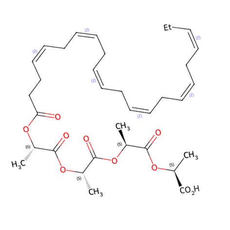 CC/C=C\C/C=C\C/C=C\C/C=C\C/C=C\C/C=C\CCC(=O)O[C@@H](C)C(=O)O[C@@H](C)C(=O)O[C@@H](C)C(=O)O[C@@H](C)C(=O)O